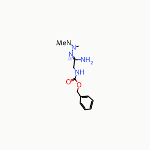 CNN(C)/N=C(\N)CNC(=O)OCc1ccccc1